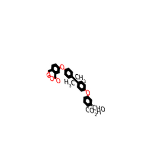 CC(C)(c1ccc(Oc2ccc(C(=O)O)c(C=O)c2)cc1)c1ccc(Oc2ccc3c(c2)C(=O)OOC3)cc1